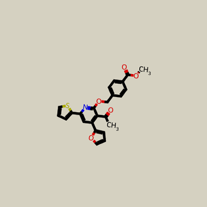 COC(=O)c1ccc(COc2nc(-c3cccs3)cc(-c3ccco3)c2C(C)=O)cc1